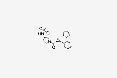 CS(=O)(=O)N[C@H]1CCN(C(=O)[C@@H]2C[C@H]2c2ccccc2C2CCCC2)C1